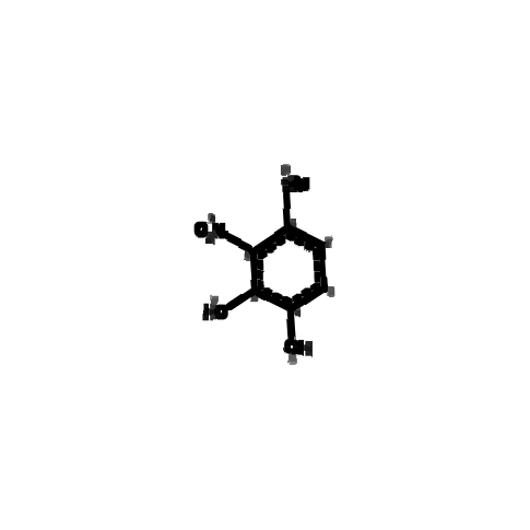 CC(C)(C)c1ccc(O)c(O)c1[N+](=O)[O-]